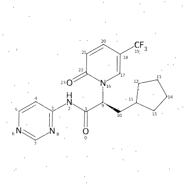 O=C(Nc1ccncn1)[C@H](CC1CCCC1)n1cc(C(F)(F)F)ccc1=O